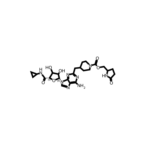 Nc1nc(CC2CCN(C(=O)OCC3CCC(=O)N3)CC2)nc2c1ncn2[C@@H]1O[C@H](C(=O)NC2CC2)C(O)C1O